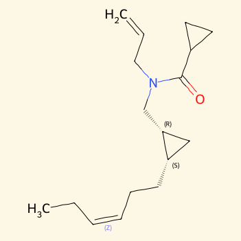 C=CCN(C[C@@H]1C[C@@H]1CC/C=C\CC)C(=O)C1CC1